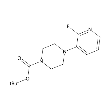 CC(C)(C)OC(=O)N1CCN(c2cccnc2F)CC1